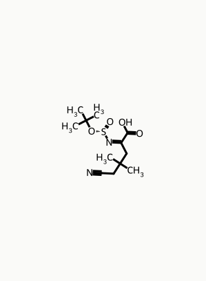 CC(C)(CC#N)CC(=N[S@@](=O)OC(C)(C)C)C(=O)O